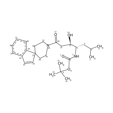 CC(C)C[C@H](NC(=O)OC(C)(C)C)[C@H](O)CC(=O)N1CCC2(C=Cc3ccccc32)CC1